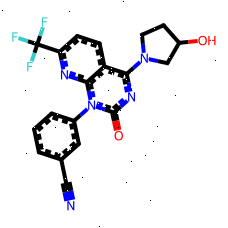 N#Cc1cccc(-n2c(=O)nc(N3CCC(O)C3)c3ccc(C(F)(F)F)nc32)c1